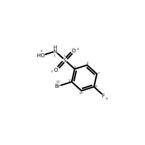 O=S(=O)(NO)c1ccc(F)cc1Br